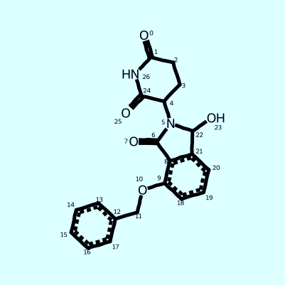 O=C1CCC(N2C(=O)c3c(OCc4ccccc4)cccc3C2O)C(=O)N1